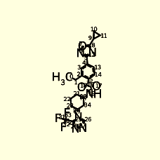 CCc1cc(-c2noc(C3CC3)n2)ccc1S(=O)(=O)N[C@H]1CCC[C@@H](n2cnnc2C(F)(F)F)C1